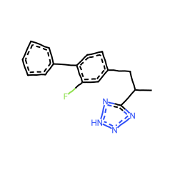 CC(Cc1ccc(-c2ccccc2)c(F)c1)c1nn[nH]n1